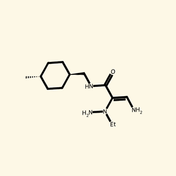 CCN(N)/C(=C\N)C(=O)NC[C@H]1CC[C@H](C)CC1